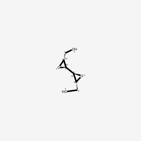 OC[C@H]1O[C@@H]1[C@H]1O[C@@H]1CO